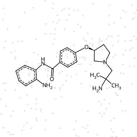 CC(C)(N)CN1CC[C@H](Oc2ccc(C(=O)Nc3ccccc3N)cc2)C1